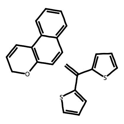 C1=Cc2c(ccc3ccccc23)OC1.C=C(c1cccs1)c1cccs1